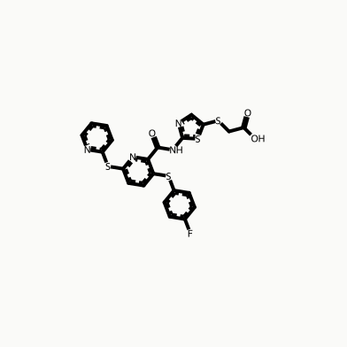 O=C(O)CSc1cnc(NC(=O)c2nc(Sc3ccccn3)ccc2Sc2ccc(F)cc2)s1